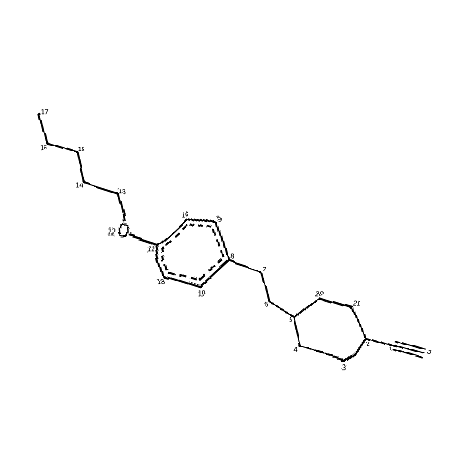 C#CC1CCC(CCc2ccc(OCCCCC)cc2)CC1